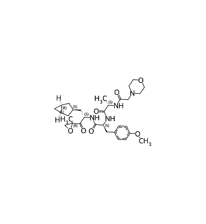 COc1ccc(C[C@H](NC(=O)[C@H](C)NC(=O)CN2CCOCC2)C(=O)N[C@@H](C[C@@H]2C[C@@H]3C[C@@H]3C2)C(=O)[C@@]2(C)CO2)cc1